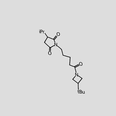 CC(C)C1CC(=O)N(CCCCC(=O)N2CC(C(C)(C)C)C2)C1=O